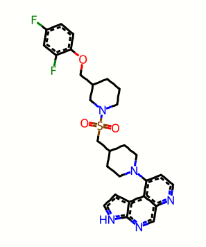 O=S(=O)(CC1CCN(c2ccnc3cnc4[nH]ccc4c23)CC1)N1CCCC(COc2ccc(F)cc2F)C1